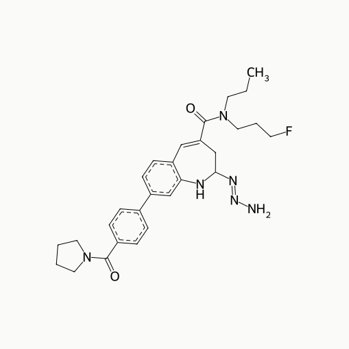 CCCN(CCCF)C(=O)C1=Cc2ccc(-c3ccc(C(=O)N4CCCC4)cc3)cc2NC(N=NN)C1